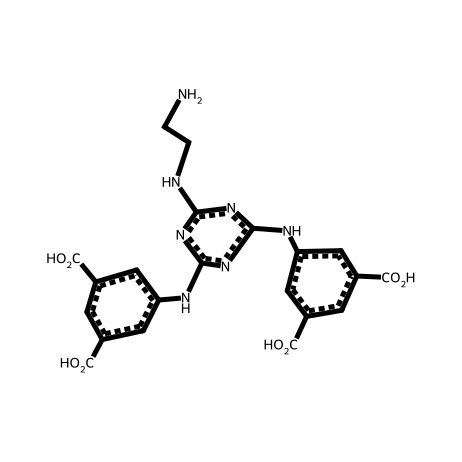 NCCNc1nc(Nc2cc(C(=O)O)cc(C(=O)O)c2)nc(Nc2cc(C(=O)O)cc(C(=O)O)c2)n1